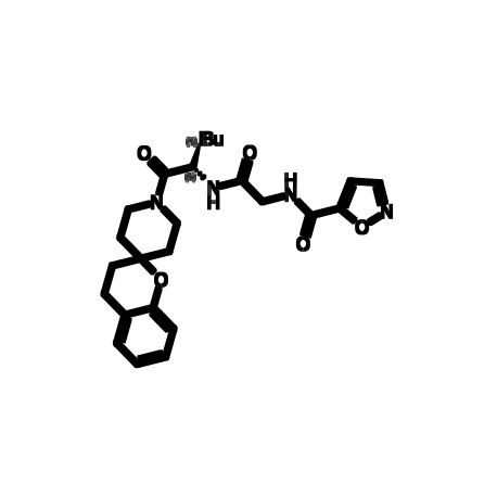 CC[C@H](C)[C@H](NC(=O)CNC(=O)c1ccno1)C(=O)N1CCC2(CCc3ccccc3O2)CC1